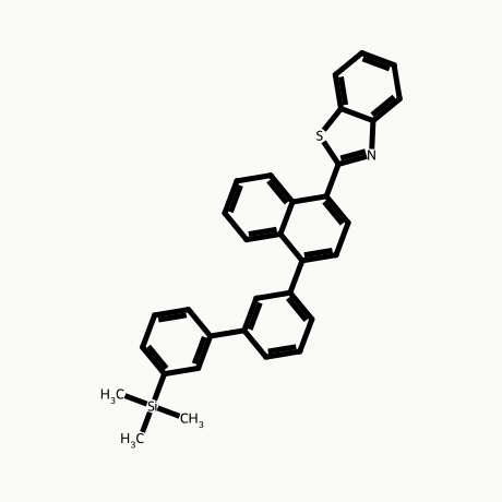 C[Si](C)(C)c1cccc(-c2cccc(-c3ccc(-c4nc5ccccc5s4)c4ccccc34)c2)c1